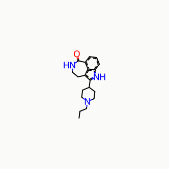 CCCN1CCC(c2[nH]c3cccc4c3c2CCNC4=O)CC1